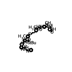 Cc1cc(OCCC[C@@H]2CCN(CC(=O)Nc3ccc4c(C5CCC(=O)NC5=O)nn(C)c4c3)[C@H](C)C2)ccc1-c1ccc(N2CCc3cccc(C(=O)Nc4nc5ccccc5s4)c3C2)nc1C(=O)OC(C)(C)C